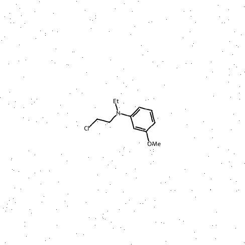 CCN(CCCl)c1cccc(OC)c1